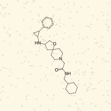 O=C(CN1CCC2(CC1)CC(NC1CC1c1ccccc1)CO2)NCC1CCCCC1